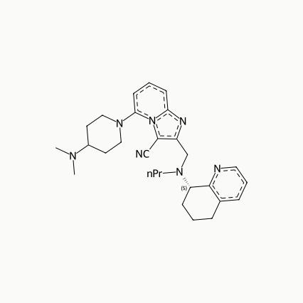 CCCN(Cc1nc2cccc(N3CCC(N(C)C)CC3)n2c1C#N)[C@H]1CCCc2cccnc21